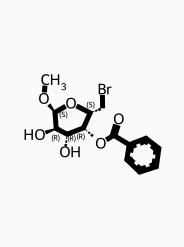 CO[C@H]1O[C@H](CBr)[C@H](OC(=O)c2ccccc2)[C@H](O)[C@H]1O